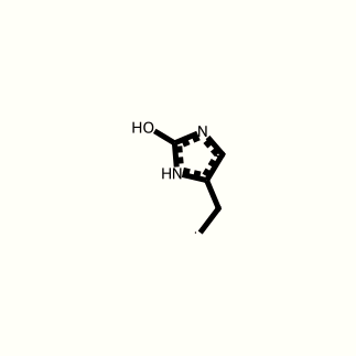 [CH2]Cc1cnc(O)[nH]1